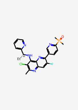 CC[C@@H](Nc1c(Cl)c(C)nc2cc(F)c(-c3ccc(P(C)(C)=O)nc3)nc12)c1ccccn1